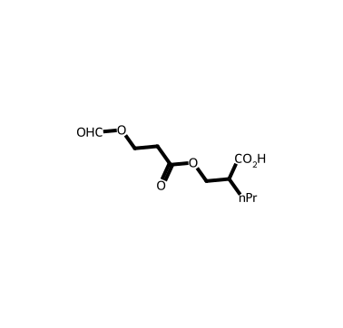 CCCC(COC(=O)CCOC=O)C(=O)O